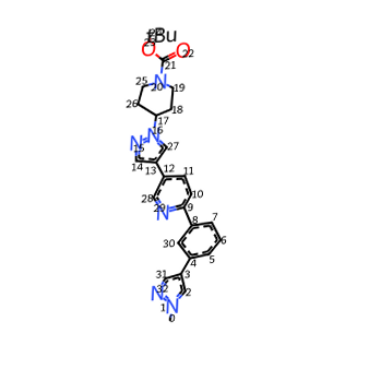 Cn1cc(-c2cccc(-c3ccc(-c4cnn(C5CCN(C(=O)OC(C)(C)C)CC5)c4)cn3)c2)cn1